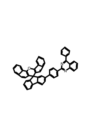 c1ccc(-c2nc(-c3ccc(-c4ccc5c(c4)C4(c6ccccc6-5)c5ccc6ccccc6c5Oc5c4ccc4ccccc54)cc3)nc3ccccc23)cc1